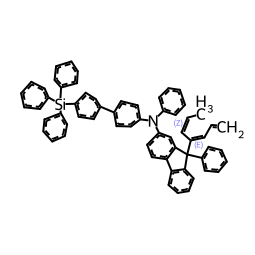 C=C/C=C(\C=C/C)C1(c2ccccc2)c2ccccc2-c2ccc(N(c3ccccc3)c3ccc(-c4ccc([Si](c5ccccc5)(c5ccccc5)c5ccccc5)cc4)cc3)cc21